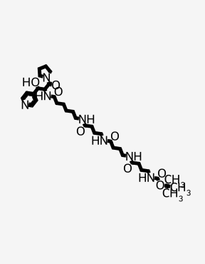 CC(C)(C)OC(=O)NCCCC(=O)NCCCC(=O)NCCCC(=O)NCCCCCC(=O)NC(C(=O)N1CCCC1)C(O)c1ccncc1